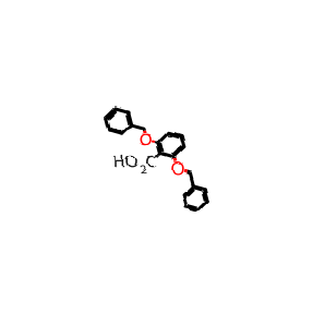 O=C(O)c1c(OCc2ccccc2)cccc1OCc1ccccc1